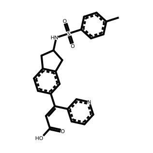 Cc1ccc(S(=O)(=O)NC2Cc3ccc(C(=CC(=O)O)c4cccnc4)cc3C2)cc1